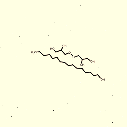 CCCCCCCCCCCCCCCCO.OCC(O)COOCC(O)CO